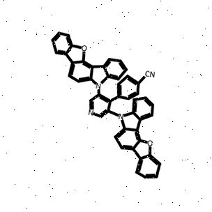 N#Cc1ccc(-c2c(-n3c4ccccc4c4c5oc6ccccc6c5ccc43)cncc2-n2c3ccccc3c3c4oc5ccccc5c4ccc32)cc1